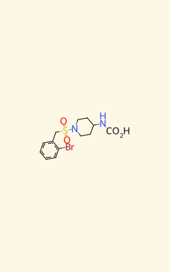 O=C(O)NC1CCN(S(=O)(=O)Cc2ccccc2Br)CC1